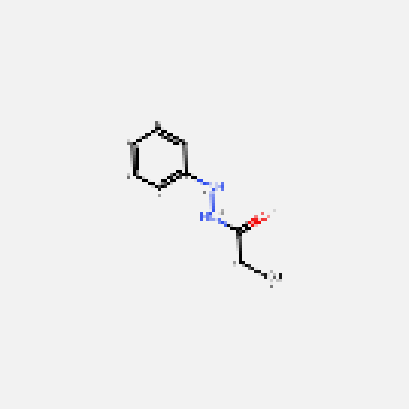 [CH2]C(C)(C)CC(=O)NNc1ccccc1